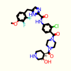 COc1ccc(Cc2cnc(C(=O)Nc3ccc(C(=O)N4CCN(C(=O)[C@@H]5CCNC[C@@H]5O)CC4)c(Cl)c3)[nH]2)c(F)c1F